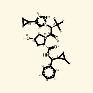 CC1CC1C(NC(=O)[C@@H]1C[C@@H](O)CN1C(=O)[C@@H](n1cc(C2CC2)nn1)C(C)(C)C)c1ccccc1